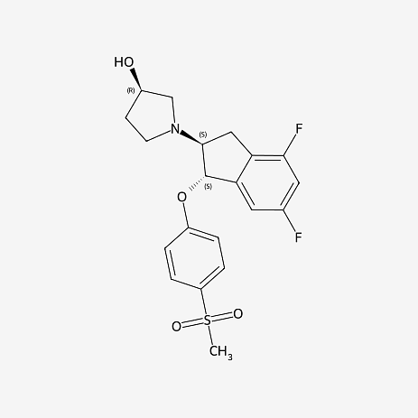 CS(=O)(=O)c1ccc(O[C@H]2c3cc(F)cc(F)c3C[C@@H]2N2CC[C@@H](O)C2)cc1